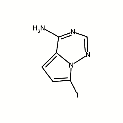 Nc1ncnn2c(I)ccc12